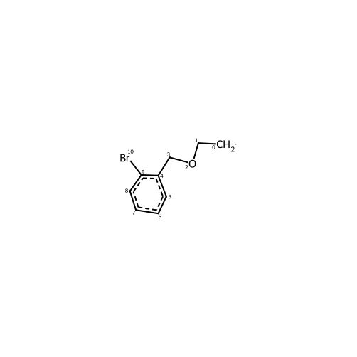 [CH2]COCc1ccccc1Br